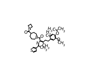 COc1cc(CC/C(C)=C(/N=C(\C)c2ccsc2)C(=O)B2CCCC(C(=O)N3CCC3)CC2)c(C)cc1OC(C)C